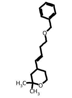 CC1(C)CC(C=CCCOCc2ccccc2)CCO1